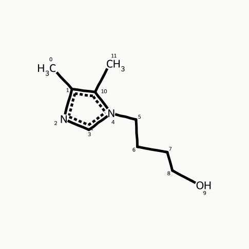 Cc1n[c]n(CCCCO)c1C